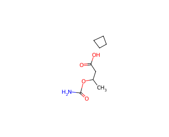 C1CCC1.CC(CC(=O)O)OC(N)=O